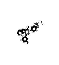 Cc1nc2cc(NC(=O)c3cc4cccnc4n3Cc3cccc(F)c3)ccc2s1